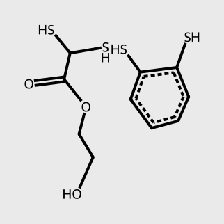 O=C(OCCO)C(S)S.Sc1ccccc1S